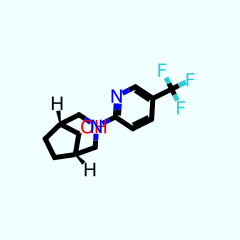 OC1[C@@H]2CC[C@H]1CN(c1ccc(C(F)(F)F)cn1)C2